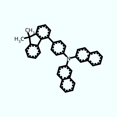 CC1(C)c2ccccc2-c2c(-c3ccc(N(c4ccc5ccccc5c4)c4ccc5ccccc5c4)cc3)cccc21